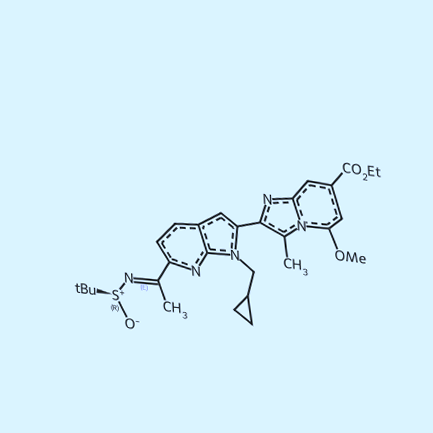 CCOC(=O)c1cc(OC)n2c(C)c(-c3cc4ccc(/C(C)=N/[S@@+]([O-])C(C)(C)C)nc4n3CC3CC3)nc2c1